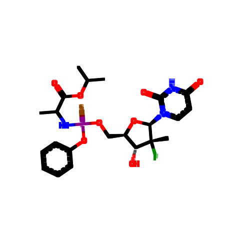 CC(C)OC(=O)C(C)NP(=S)(OC[C@H]1O[C@@H](n2ccc(=O)[nH]c2=O)[C@](C)(F)[C@@H]1O)Oc1ccccc1